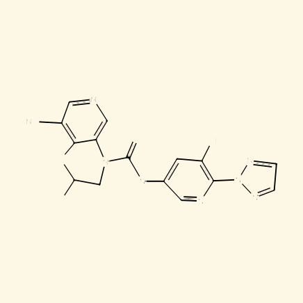 N#Cc1cncc2c1OC(C(F)(F)F)CN2C(=O)Nc1cnc(-n2nccn2)c(Cl)c1